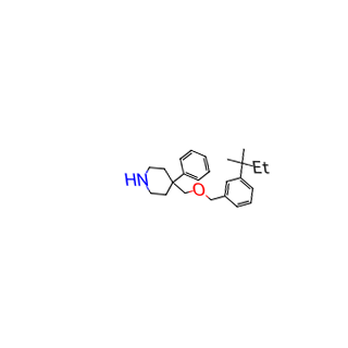 CCC(C)(C)c1cccc(COCC2(c3ccccc3)CCNCC2)c1